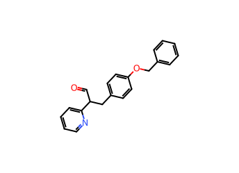 O=CC(Cc1ccc(OCc2ccccc2)cc1)c1ccccn1